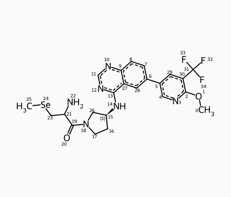 COc1ncc(-c2ccc3ncnc(N[C@H]4CCN(C(=O)C(N)C[Se]C)C4)c3c2)cc1C(F)(F)F